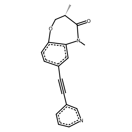 C[C@H]1COc2ccc(C#Cc3cccnc3)cc2N(C)C1=O